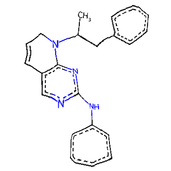 CC(Cc1ccccc1)N1CC=Cc2cnc(Nc3ccccc3)nc21